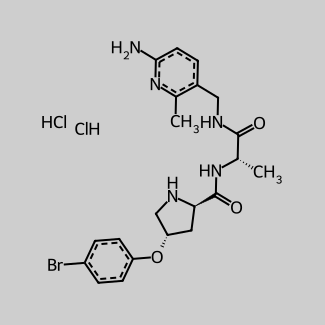 Cc1nc(N)ccc1CNC(=O)[C@H](C)NC(=O)[C@H]1C[C@H](Oc2ccc(Br)cc2)CN1.Cl.Cl